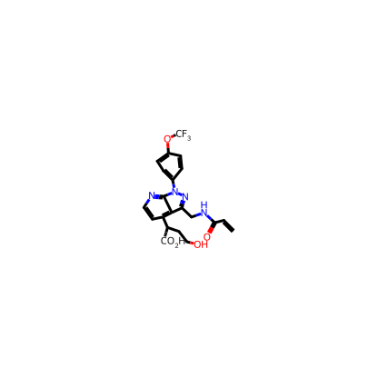 C=CC(=O)NCc1nn(-c2ccc(OC(F)(F)F)cc2)c2nccc(C(CCO)C(=O)O)c12